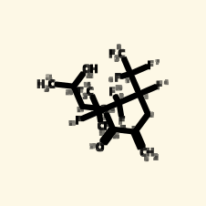 C=C(CC(F)(C(F)(F)C(F)(F)F)C(F)(F)C(F)(C(F)(F)F)C(F)(F)F)C(=O)OCC(C)O